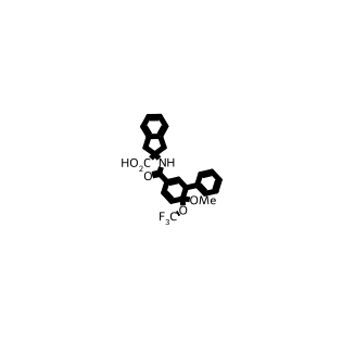 COC1(OC(F)(F)F)C=CC(C(=O)NC2(C(=O)O)Cc3ccccc3C2)=CC1c1ccccc1